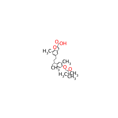 CCC(CCc1cc(C)c2oc(C(=O)O)cc2c1)c1ccc(OCC(=O)C(C)(C)C)c(C)c1